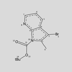 Cc1c(Br)c2cccnc2n1C(=O)OC(C)(C)C